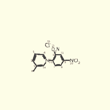 Cc1ccc[n+](-c2ccc([N+](=O)[O-])cc2[N+](=O)[O-])c1.[Cl-]